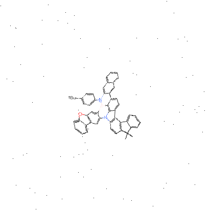 CC(C)(C)c1ccc(N2B3c4cc5oc6ccccc6c5cc4-n4c5ccc6c(c5c5ccc(c3c54)-c3cc4ccccc4cc32)-c2ccccc2C6(C)C)cc1